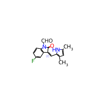 Cc1cc(C)c(/C=C2\C(=O)N(C=O)c3ccc(F)cc32)[nH]1